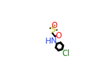 CS(C)(=O)=CC(=O)Nc1ccc(Cl)cc1